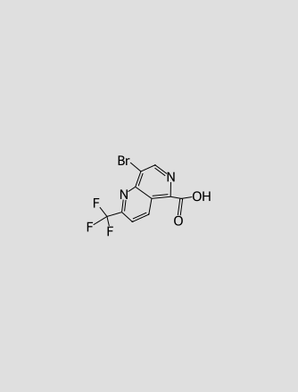 O=C(O)c1ncc(Br)c2nc(C(F)(F)F)ccc12